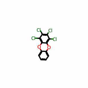 Clc1c(Cl)c(Cl)c2c(c1Cl)Oc1ccccc1O2